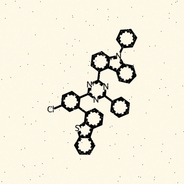 Clc1ccc(-c2nc(-c3ccccc3)nc(-c3cccc4c3c3ccccc3n4-c3ccccc3)n2)c(-c2cccc3c2sc2ccccc23)c1